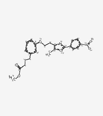 COC(=O)CSCc1cccc(OCCc2nc(-c3ccc([N+](=O)[O-])cc3)oc2C)c1